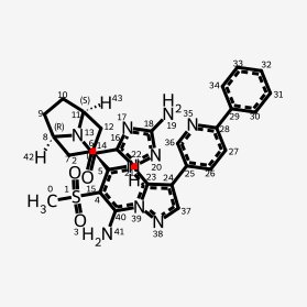 CS(=O)(=O)c1c([C@H]2C[C@H]3CC[C@@H](C2)N3C(=O)c2nc(N)n[nH]2)nc2c(-c3ccc(-c4ccccc4)nc3)cnn2c1N